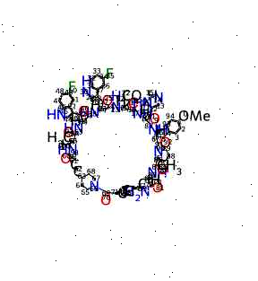 COc1ccc(C[C@@H]2NC(=O)[C@H](Cc3cnc[nH]3)NC(=O)[C@H](CC(=O)O)NC(=O)[C@H](Cc3c[nH]c4ccc(F)cc34)NC(=O)[C@H](Cc3c[nH]c4ccc(F)cc34)NC(=O)[C@@H](C)NC(=O)CCC3CCN(CC3)C(=O)c3ccc(cc3)C[C@@H](C(N)=O)NC(=O)[C@]3(C)CCCN3C2=O)cc1